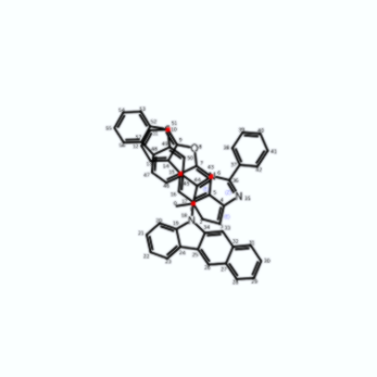 CC1C/C=C(c2cc3oc4ccccc4c3cc2-n2c3ccccc3c3cc4ccccc4cc32)/N=C(c2ccccc2)\N=C/1c1ccc2c(c1)sc1ccccc12